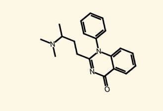 CC(CCc1nc(=O)c2ccccc2n1-c1ccccc1)N(C)C